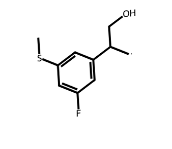 [CH2]C(CO)c1cc(F)cc(SC)c1